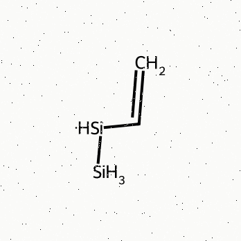 C=C[SiH][SiH3]